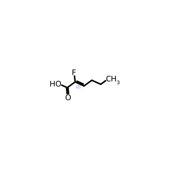 CCC/C=C(\F)C(=O)O